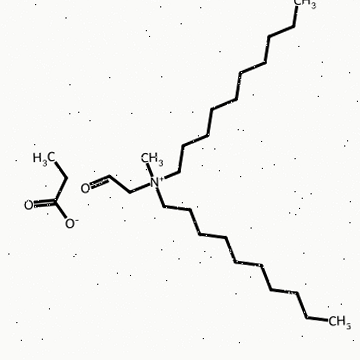 CCC(=O)[O-].CCCCCCCCCC[N+](C)(CC=O)CCCCCCCCCC